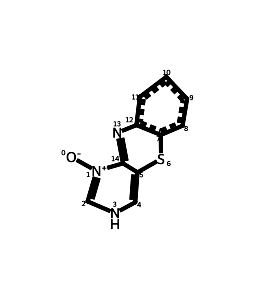 [O-][N+]1=CNC=C2Sc3ccccc3N=C21